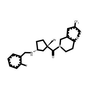 CC(C)[C@]1(C(=O)N2CCc3ncc(C(F)(F)F)cc3C2)CC[C@@H](NCc2ccccc2F)C1